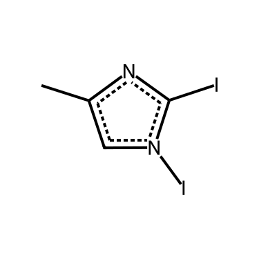 Cc1cn(I)c(I)n1